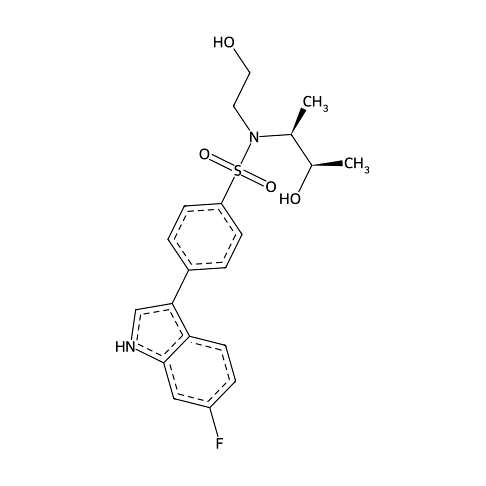 C[C@@H](O)[C@H](C)N(CCO)S(=O)(=O)c1ccc(-c2c[nH]c3cc(F)ccc23)cc1